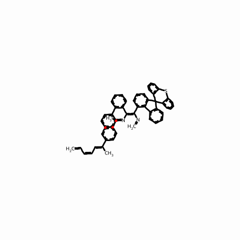 C=C/C=C\C=C(/C)c1ccc(/C(C)=N/C(=C(\N=C)c2cccc3c2-c2ccccc2C32c3ccccc3Sc3ccccc32)c2ccccc2-c2ccccc2)cc1